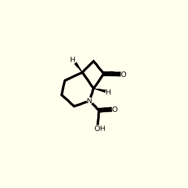 O=C1C[C@H]2CCCN(C(=O)O)[C@@H]12